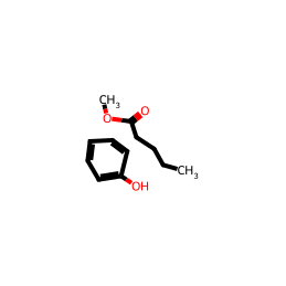 CCCCC(=O)OC.Oc1ccccc1